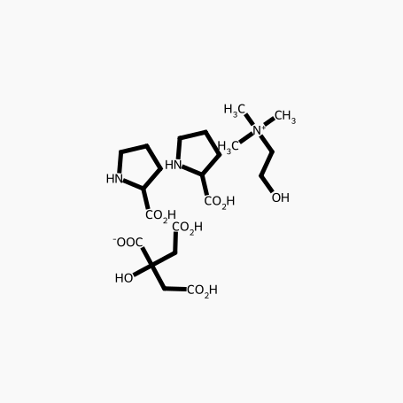 C[N+](C)(C)CCO.O=C(O)C1CCCN1.O=C(O)C1CCCN1.O=C(O)CC(O)(CC(=O)O)C(=O)[O-]